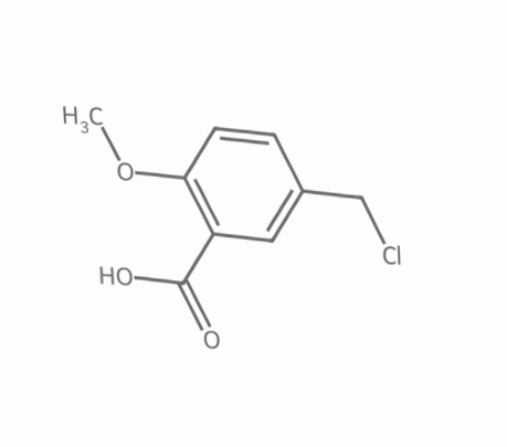 COc1ccc(CCl)cc1C(=O)O